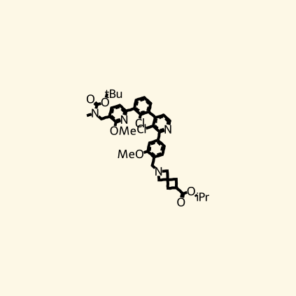 COc1cc(-c2nccc(-c3cccc(-c4ccc(CN(C)C(=O)OC(C)(C)C)c(OC)n4)c3Cl)c2Cl)ccc1CN1CC2(CC(C(=O)OC(C)C)C2)C1